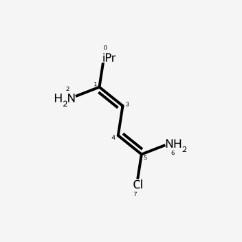 CC(C)/C(N)=C/C=C(\N)Cl